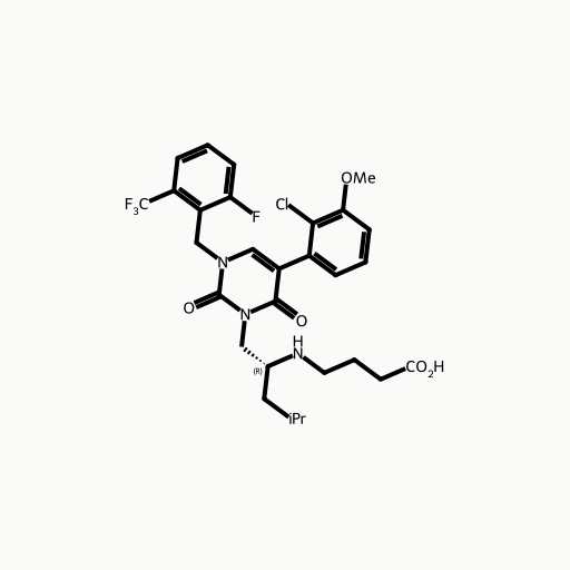 COc1cccc(-c2cn(Cc3c(F)cccc3C(F)(F)F)c(=O)n(C[C@@H](CC(C)C)NCCCC(=O)O)c2=O)c1Cl